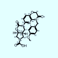 COc1ccc(CN2C(=O)COc3ccc(N4C[C@@H]5CN(C(=O)O)C[C@H]5OC4=O)nc32)cc1